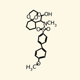 COc1ccc(-c2ccc(S(=O)(=O)N(C)C(C(=O)O)C3CCCCC34OCCCO4)cc2)cc1